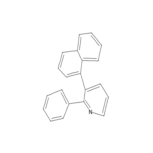 c1ccc(-c2ncccc2-c2cccc3ccccc23)cc1